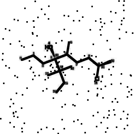 CCC[C@@](O)(C(C)CC[C@@H](C)Cl)C(C)(C)CC